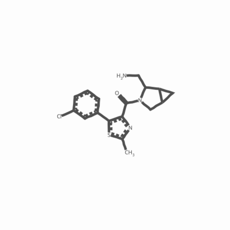 Cc1nc(C(=O)N2CC3CC3C2CN)c(-c2cccc(Cl)c2)s1